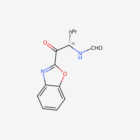 CCC[C@H](NC=O)C(=O)c1nc2ccccc2o1